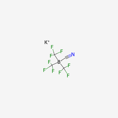 N#C[B-](C(F)(F)F)(C(F)(F)F)C(F)(F)F.[K+]